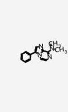 CN(C)c1nccn2c(-c3ccccc3)cnc12